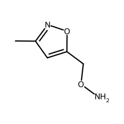 Cc1cc(CON)on1